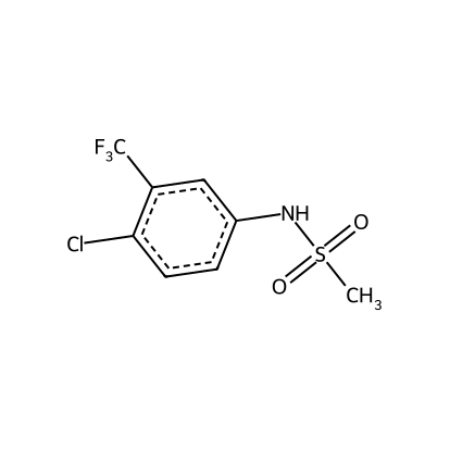 CS(=O)(=O)Nc1ccc(Cl)c(C(F)(F)F)c1